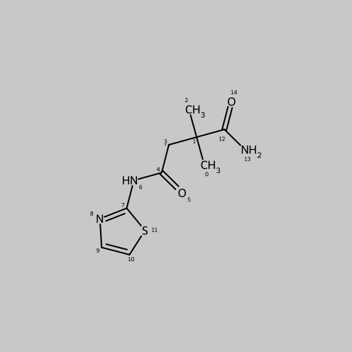 CC(C)([CH]C(=O)Nc1nccs1)C(N)=O